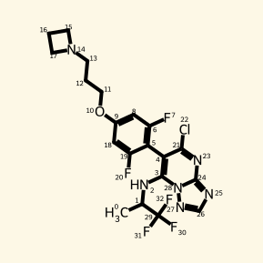 CC(Nc1c(-c2c(F)cc(OCCCN3CCC3)cc2F)c(Cl)nc2ncnn12)C(F)(F)F